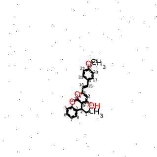 CCC(c1ccccc1)c1c(O)cc(C=Cc2ccc(OC)cc2)oc1=O